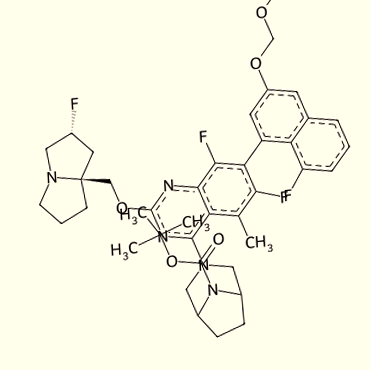 COCOc1cc(-c2c(F)c(C)c3c(N4CC5CCC(C4)N5C(=O)OC(C)(C)C)nc(OC[C@@]45CCCN4C[C@H](F)C5)nc3c2F)c2c(F)cccc2c1